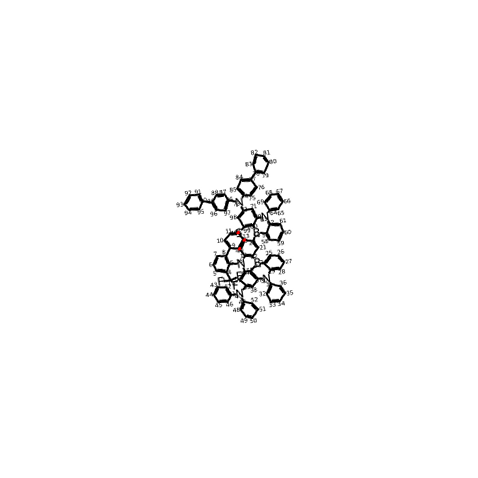 FC(F)(F)c1cccc(-c2ccccc2)c1N1c2cc3c(cc2B2c4ccccc4N(c4ccccc4)c4cc(N(c5ccccc5)c5ccccc5)cc1c42)B1c2ccccc2N(c2ccccc2)c2cc(N(c4ccc(-c5ccccc5)cc4)c4ccc(-c5ccccc5)cc4)cc(c21)S3